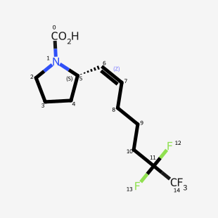 O=C(O)N1CCC[C@H]1/C=C\CCCC(F)(F)C(F)(F)F